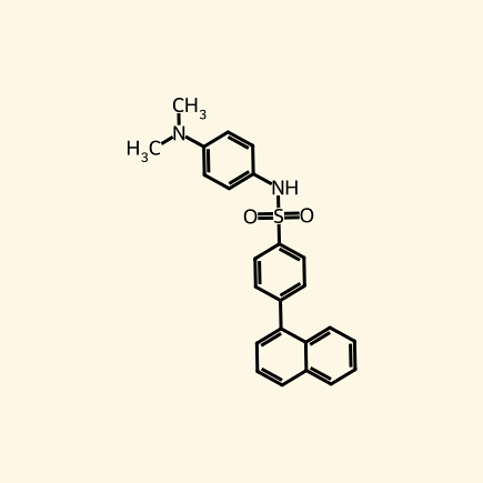 CN(C)c1ccc(NS(=O)(=O)c2ccc(-c3cccc4ccccc34)cc2)cc1